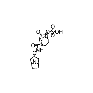 CN1C2CCC1CC(ONC(=O)[C@@H]1CCC3CN1C(=O)N3OS(=O)(=O)O)C2